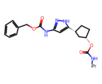 CC(C)NC(=O)O[C@H]1CC[C@@H](c2cc(NC(=O)OCc3ccccc3)n[nH]2)C1